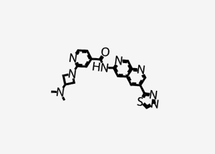 CN(C)C1CN(c2cc(C(=O)Nc3cc4cc(-c5nncs5)cnc4cn3)ccn2)C1